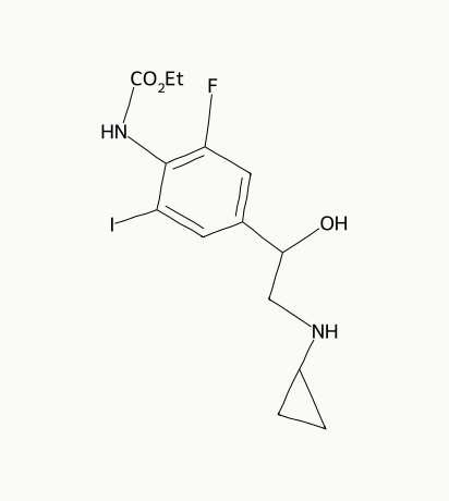 CCOC(=O)Nc1c(F)cc(C(O)CNC2CC2)cc1I